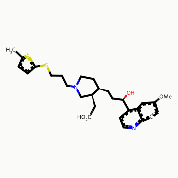 COc1ccc2nccc([C@H](O)CC[C@@H]3CCN(CCCSc4ccc(C)s4)C[C@@H]3CC(=O)O)c2c1